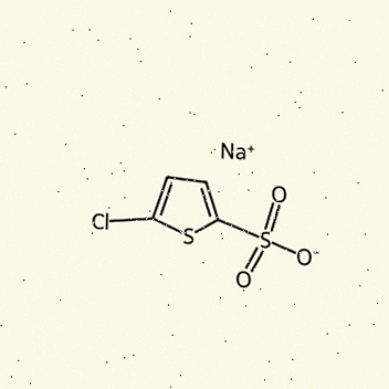 O=S(=O)([O-])c1ccc(Cl)s1.[Na+]